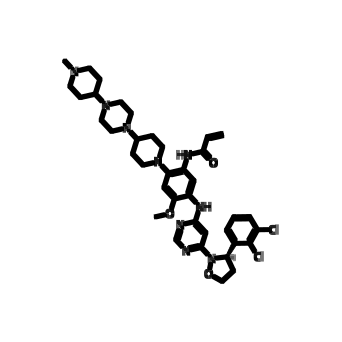 C=CC(=O)Nc1cc(Nc2cc(N3OCC[C@@H]3c3cccc(Cl)c3Cl)ncn2)c(OC)cc1N1CCC(N2CCN(C3CCN(C)CC3)CC2)CC1